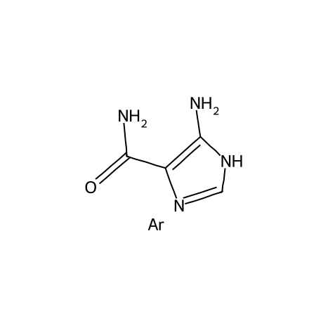 NC(=O)c1nc[nH]c1N.[Ar]